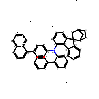 c1ccc(-c2ccccc2N(c2ccc(-c3cccc4ccccc34)cc2)c2cccc3c2-c2ccccc2C32CC3CCC2C3)cc1